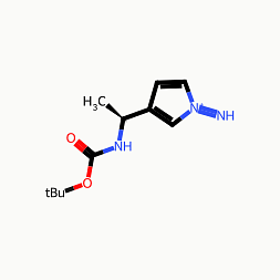 C[C@H](NC(=O)OC(C)(C)C)C1=C[N+](=N)C=C1